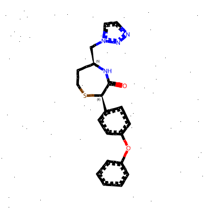 O=C1N[C@H](Cn2ccnn2)CCS[C@@H]1c1ccc(Oc2ccccc2)cc1